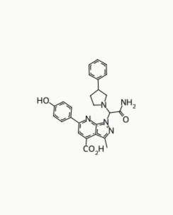 Cc1nn(C(C(N)=O)N2CCC(c3ccccc3)C2)c2nc(-c3ccc(O)cc3)cc(C(=O)O)c12